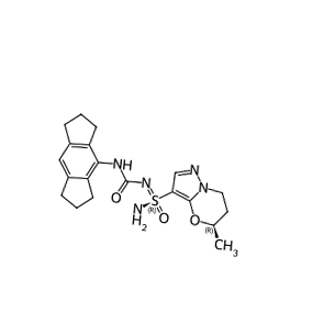 C[C@@H]1CCn2ncc([S@](N)(=O)=NC(=O)Nc3c4c(cc5c3CCC5)CCC4)c2O1